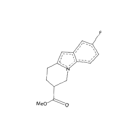 COC(=O)C1CCc2cc3cc(F)ccc3n2C1